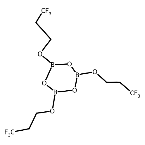 FC(F)(F)CCOB1OB(OCCC(F)(F)F)OB(OCCC(F)(F)F)O1